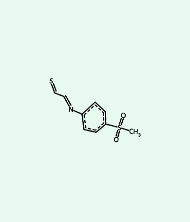 CS(=O)(=O)c1ccc(N=CC=S)cc1